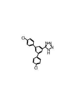 Clc1ccc(-c2cc(-c3ccc(Cl)cc3)cc(-c3nnn[nH]3)c2)cc1